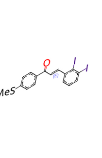 CSc1ccc(C(=O)/C=C/c2cccc(I)c2I)cc1